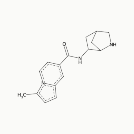 Cc1ccc2cc(C(=O)NC3CC4CNC3C4)ccn12